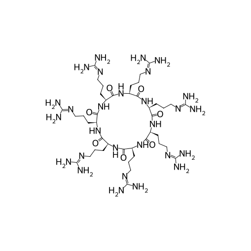 NC(N)=NCCC[C@@H]1NC(=O)[C@H](CCCN=C(N)N)NC(=O)[C@H](CCCN=C(N)N)NC(=O)[C@H](CCCN=C(N)N)NC(=O)[C@H](CCCN=C(N)N)NC(=O)[C@H](CCCN=C(N)N)NC(=O)[C@H](CCCN=C(N)N)NC1=O